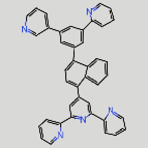 c1ccc(-c2cc(-c3cccnc3)cc(-c3ccc(-c4cc(-c5ccccn5)nc(-c5ccccn5)c4)c4ccccc34)c2)nc1